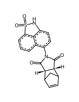 O=C1[C@@H]2C3C=CC(C3)[C@@H]2C(=O)N1c1ccc2c3c(cccc13)S(=O)(=O)N2